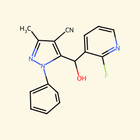 Cc1nn(-c2ccccc2)c(C(O)c2cccnc2F)c1C#N